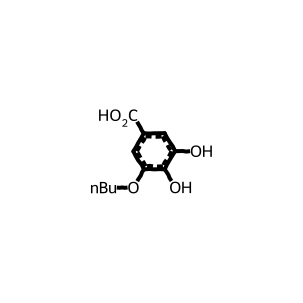 CCCCOc1cc(C(=O)O)cc(O)c1O